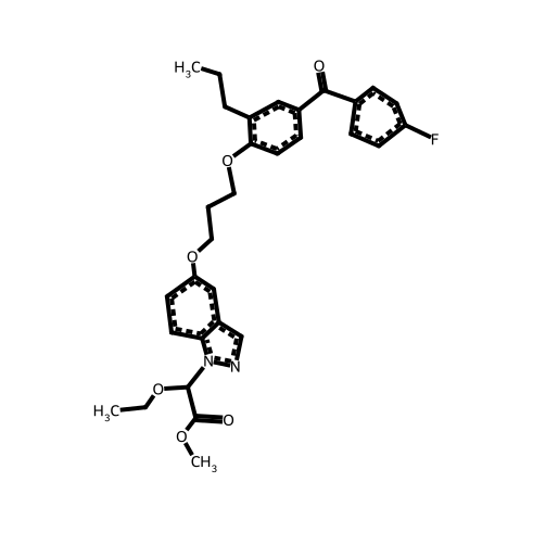 CCCc1cc(C(=O)c2ccc(F)cc2)ccc1OCCCOc1ccc2c(cnn2C(OCC)C(=O)OC)c1